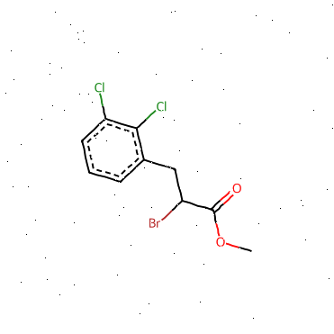 COC(=O)C(Br)Cc1cccc(Cl)c1Cl